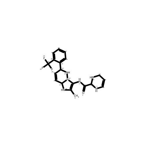 CC1=C(NC(=O)C2NC=CCN2)N2NC(c3ccccc3C(F)(F)F)C=CC2N1